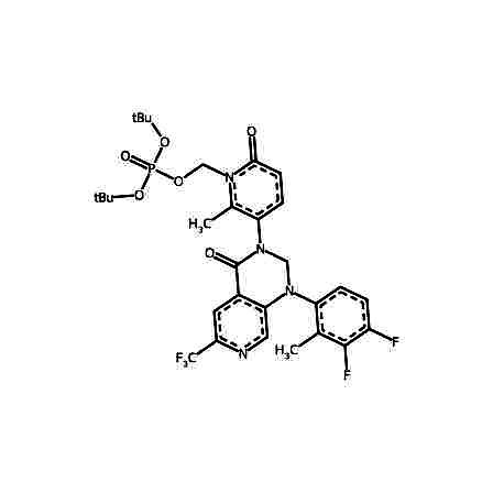 Cc1c(N2CN(c3ccc(=O)n(COP(=O)(OC(C)(C)C)OC(C)(C)C)c3C)C(=O)c3cc(C(F)(F)F)ncc32)ccc(F)c1F